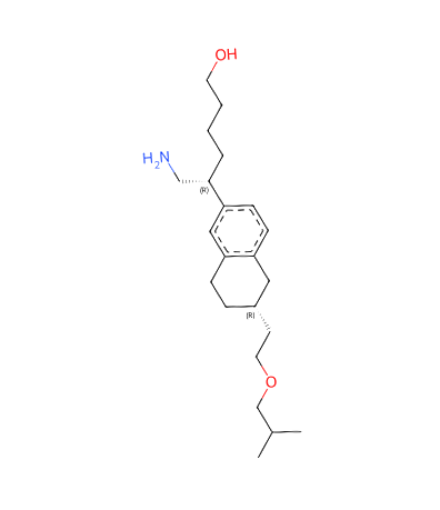 CC(C)COCC[C@@H]1CCc2cc([C@H](CN)CCCCO)ccc2C1